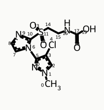 Cn1cc(Cl)c(-n2ccnc2S(=O)(=O)CCNC(=O)O)n1